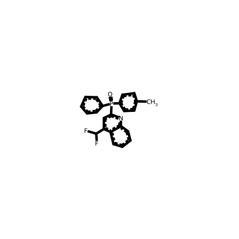 Cc1ccc(P(=O)(c2ccccc2)c2cc(C(F)F)c3ccccc3n2)cc1